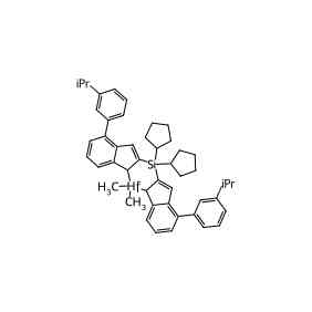 CC(C)c1cccc(-c2cccc3c2C=C2[CH]3[Hf]([CH3])([CH3])[CH]3C(=Cc4c(-c5cccc(C(C)C)c5)cccc43)[Si]2(C2CCCC2)C2CCCC2)c1